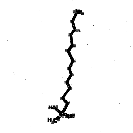 CC(O)(O)CCCCCCCCCCCCN